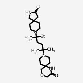 CCC(C)(CCC(C)(C)N1CCC2(CC1)COCC(=O)N2)N1CCC2(CC1)CNC(=O)C2